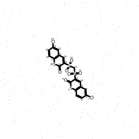 O=c1sc2ccc(Cl)cc2cc1S(=O)(=O)CS(=O)(=O)c1cc2cc(Cl)ccc2sc1=O